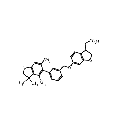 Cc1cc2c(c(C)c1-c1cccc(COc3ccc4c(c3)OCC4CC(=O)O)c1)C(C)(C)CO2